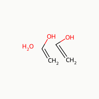 C=CO.C=CO.O